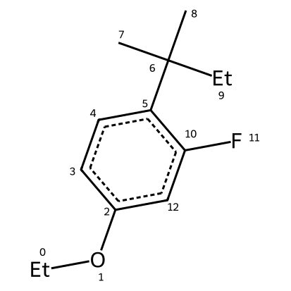 CCOc1ccc(C(C)(C)CC)c(F)c1